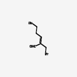 CCC(C)CC/C=C(\C=O)CC(C)C